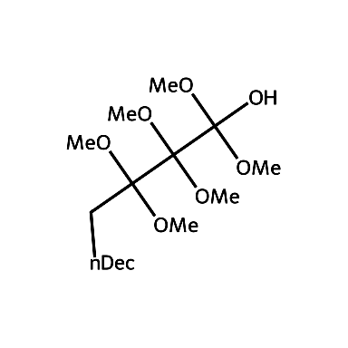 CCCCCCCCCCCC(OC)(OC)C(OC)(OC)C(O)(OC)OC